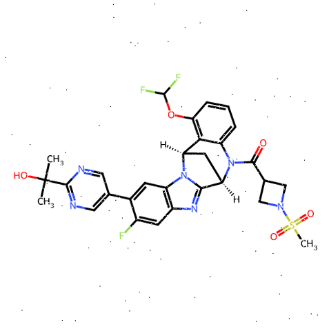 CC(C)(O)c1ncc(-c2cc3c(cc2F)nc2n3[C@@H]3C[C@H]2N(C(=O)C2CN(S(C)(=O)=O)C2)c2cccc(OC(F)F)c23)cn1